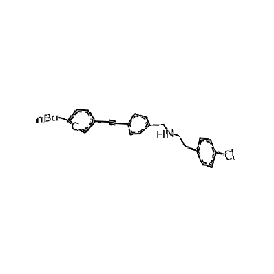 CCCCc1ccc(C#Cc2ccc(CNCCc3ccc(Cl)cc3)cc2)cc1